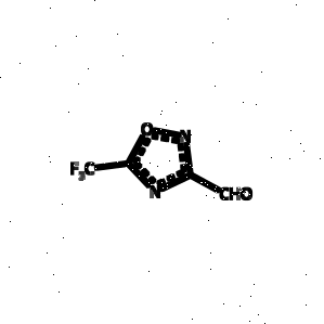 O=Cc1noc(C(F)(F)F)n1